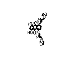 O=C1c2c(O)ccc(O)c2C(=O)c2c(NCC=CN3CCOC3)ccc(NCC=CN3CCOC3)c21